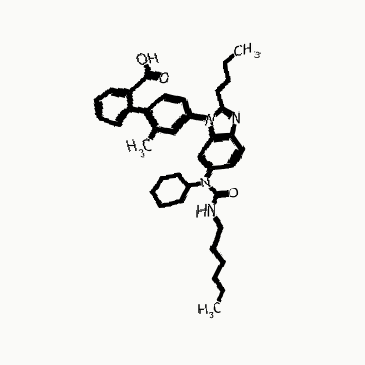 CCCCCCNC(=O)N(c1ccc2nc(CCCC)n(-c3ccc(-c4ccccc4C(=O)O)c(C)c3)c2c1)C1CCCCC1